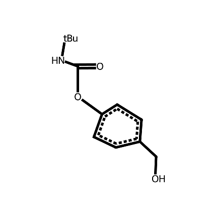 CC(C)(C)NC(=O)Oc1ccc(CO)cc1